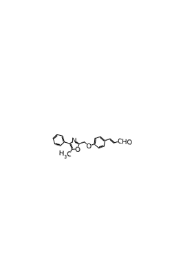 Cc1oc(COc2ccc(/C=C/C=O)cc2)nc1-c1ccccc1